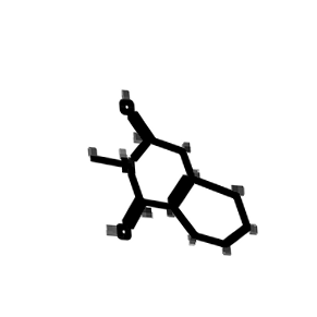 CN1C(=O)CC2=C(CCCC2)C1=O